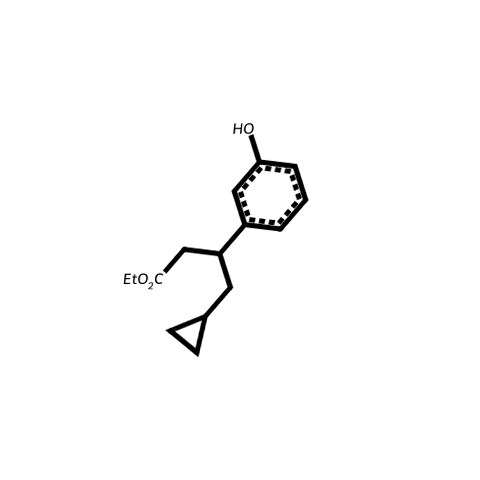 CCOC(=O)CC(CC1CC1)c1cccc(O)c1